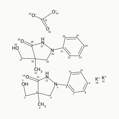 CC1(CO)CN(c2ccccc2)NC1=O.CC1(CO)CN(c2ccccc2)NC1=O.O=C([O-])[O-].[K+].[K+]